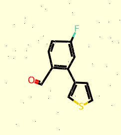 O=Cc1ccc(F)cc1-c1ccsc1